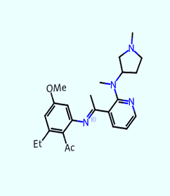 CCc1cc(OC)cc(/N=C(\C)c2cccnc2N(C)C2CCN(C)C2)c1C(C)=O